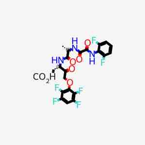 C[C@H](NC(=O)C(=O)Nc1c(F)cccc1F)C(=O)N[C@@H](CC(=O)O)C(=O)COc1c(F)c(F)cc(F)c1F